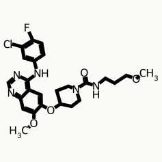 COCCCNC(=O)N1CCC(Oc2cc3c(Nc4ccc(F)c(Cl)c4)ncnc3cc2OC)CC1